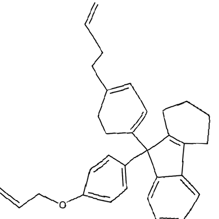 C=CCCC1=CC=C(C2(c3ccc(OCC=C)cc3)C3=C(CCCC3)c3ccccc32)CC1